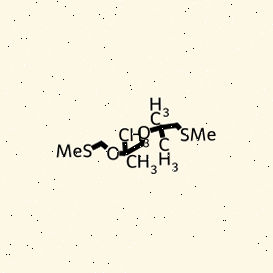 CSCOC(C)(C)COC(C)(C)CSC